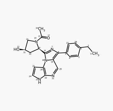 CCc1ccc(-c2nc([C@H]3C[C@@H](O)CN3C(C)=O)n3c2cnc2[nH]ccc23)cc1